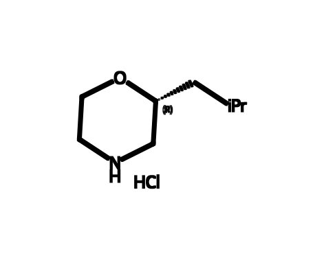 CC(C)C[C@@H]1CNCCO1.Cl